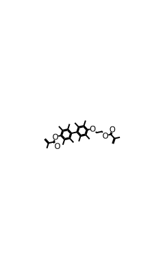 C=C(C)C(=O)OCCOc1c(C)c(C)c(-c2c(C)c(C)c(OC(=O)C(=C)C)c(C)c2C)c(C)c1C